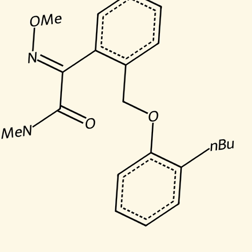 CCCCc1ccccc1OCc1ccccc1/C(=N\OC)C(=O)NC